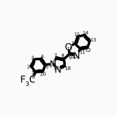 FC(F)(F)c1cccc(-n2cc(-c3nc4ccccc4o3)cn2)c1